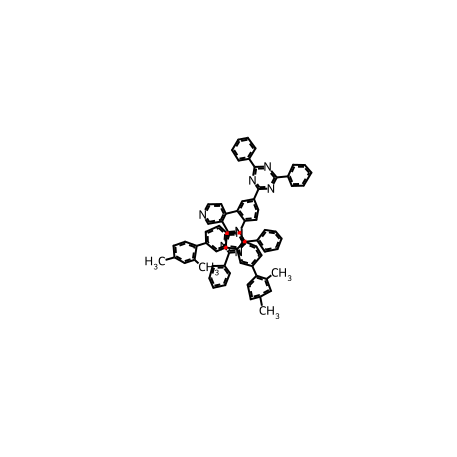 Cc1ccc(-c2ccc3c(c2)c2cc(-c4ccc(C)cc4C)ccc2n3-c2ccc(-c3nc(-c4ccccc4)nc(-c4ccccc4)n3)cc2-c2ccncc2-c2nc(-c3ccccc3)nc(-c3ccccc3)n2)c(C)c1